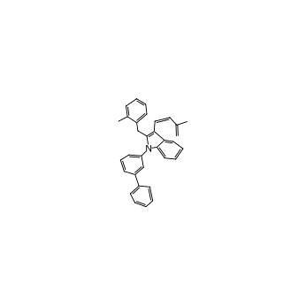 C=C(C)/C=C\c1c(Cc2ccccc2C)n(-c2cccc(-c3ccccc3)c2)c2ccccc12